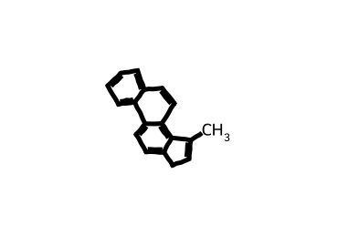 CC1=CCc2ccc3c(ccc4ccccc43)c21